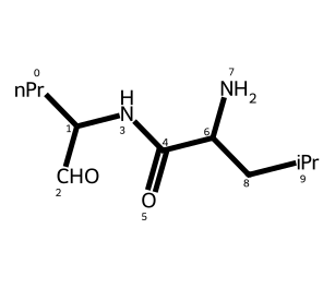 CCCC(C=O)NC(=O)C(N)CC(C)C